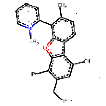 Cc1ccc2c(oc3c(C(C)C)c(CC(C)C)cc(C#N)c32)c1-c1cccc[n+]1C